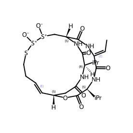 C/C=C1\NC(=O)[C@H]2C[S+]([O-])[S+]([O-])SCC/C=C/[C@H](CC(=O)N[C@H](C(C)C)C(=O)N2)OC(=O)[C@H](C(C)C)NC1=O